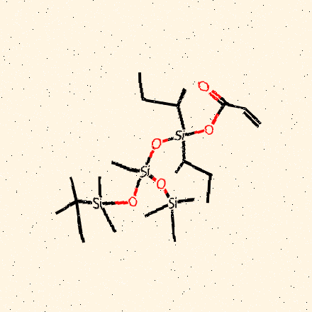 C=CC(=O)O[Si](O[Si](C)(O[Si](C)(C)C)O[Si](C)(C)C(C)(C)C)(C(C)CC)C(C)CC